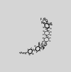 CCCCCc1ccc(-c2ccc(C(F)(F)OC3CCC(C4CCC(c5cc(F)c(OC(F)(F)F)c(F)c5)CC4)CC3)c(F)c2)cc1